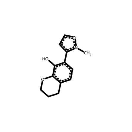 Cn1nccc1-c1ccc2c(c1O)OCCC2